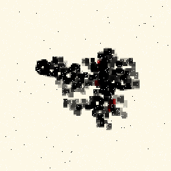 C#CCC(OC(=O)N(C)[C@H](C(=O)N[C@H](C(=O)N(C)[C@@H](C(C)CC)[C@@H](CC(=O)N1CCC[C@H]1[C@H](OC)[C@@H](C)C(=O)NC(Cc1ccccc1)C(=O)OC)OC)C(C)C)C(C)C)c1ccc(O[C@@H]2O[C@H](COC(C)=O)[C@H](OC(C)=O)[C@H](OC(C)=O)[C@H]2OC(C)=O)c2cc(CCCC(=O)OC)oc12